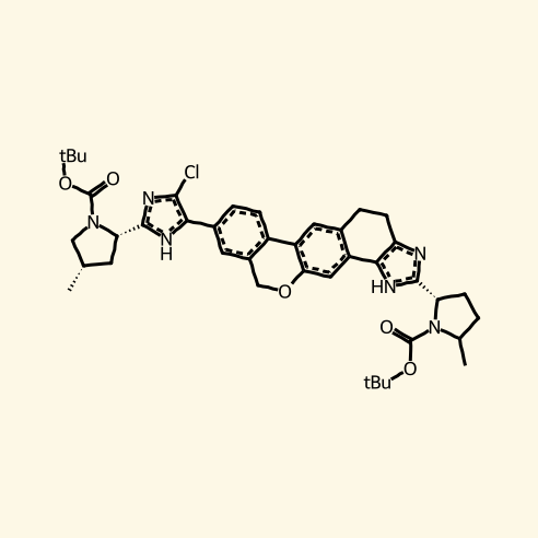 CC1CC[C@@H](c2nc3c([nH]2)-c2cc4c(cc2CC3)-c2ccc(-c3[nH]c([C@@H]5C[C@H](C)CN5C(=O)OC(C)(C)C)nc3Cl)cc2CO4)N1C(=O)OC(C)(C)C